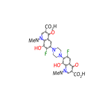 CNn1cc(C(=O)O)c(=O)c2cc(N3CCN(c4c(F)cc5c(=O)c(C(=O)O)cn(NC)c5c4O)CC3)c(F)c(O)c21